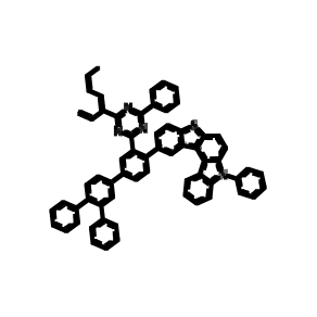 C=C/C(=C\C=C/C)c1nc(-c2ccccc2)nc(-c2cc(-c3ccc(-c4ccccc4)c(-c4ccccc4)c3)ccc2-c2ccc3sc4ccc5c(c6ccccc6n5-c5ccccc5)c4c3c2)n1